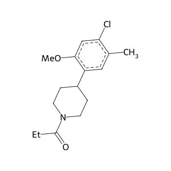 CCC(=O)N1CCC(c2cc(C)c(Cl)cc2OC)CC1